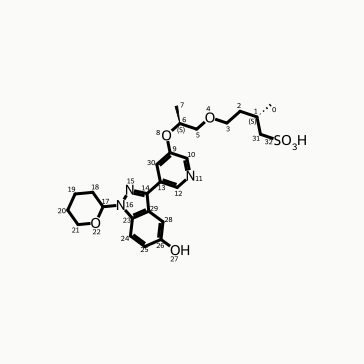 C[C@@H](CCOC[C@H](C)Oc1cncc(-c2nn(C3CCCCO3)c3ccc(O)cc23)c1)CS(=O)(=O)O